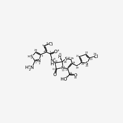 Nc1nc(/C(=C/Cl)C(=O)N[C@@H]2C(=O)N3C(C(=O)O)=C(Cc4ccc(Cl)s4)CS[C@@H]23)cs1